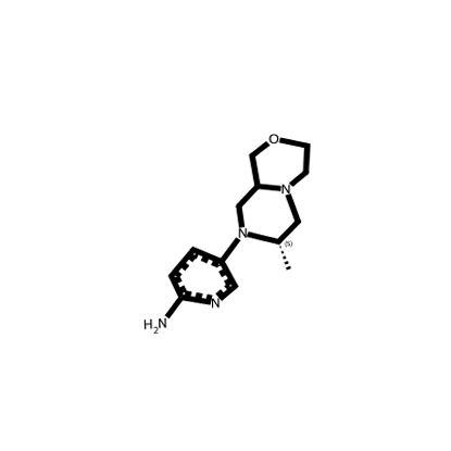 C[C@H]1CN2CCOCC2CN1c1ccc(N)nc1